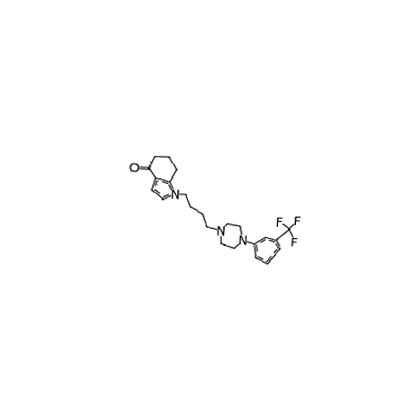 O=C1CCCc2c1ccn2CCCCN1CCN(c2cccc(C(F)(F)F)c2)CC1